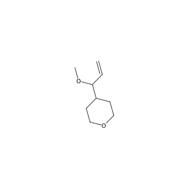 C=CC(OC)C1CCOCC1